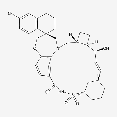 O=C1NS(=O)(=O)[C@@H]2CCC[C@@H](/C=C/[C@H](O)[C@@H]3CC[C@H]3CN3C[C@@]4(CCCc5cc(Cl)ccc54)COc4ccc1cc43)C2